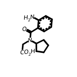 Nc1ccccc1C(=O)N(CC(=O)O)C1CCCC1